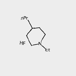 CCCC1CCN(CC)CC1.F